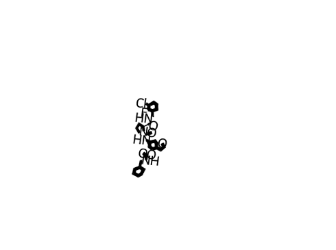 O=C(NCc1ccccc1)Oc1cc(NC(=O)N2CCC[C@H]2C(=O)NCc2cccc(Cl)c2F)cc2occc12